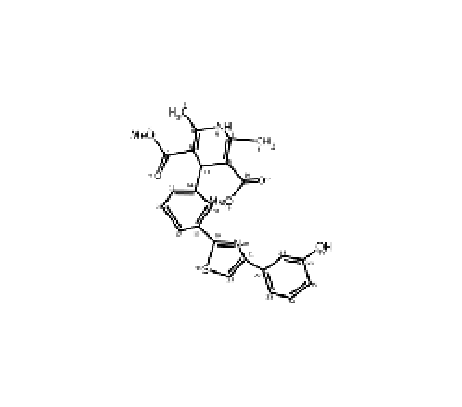 COC(=O)C1=C(C)NC(C)=C(C(=O)OC)C1c1cccc(-c2nc(-c3cccc(O)c3)cs2)c1